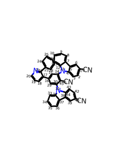 N#Cc1ccc2c(c1)c1ccccc1n2-c1cc(-c2cccnc2-c2ccccc2)cc(-n2c3ccccc3c3cc(C#N)ccc32)c1C#N